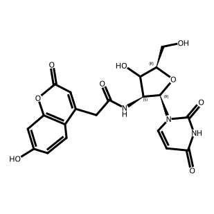 O=C(Cc1cc(=O)oc2cc(O)ccc12)N[C@H]1C(O)[C@@H](CO)O[C@H]1n1ccc(=O)[nH]c1=O